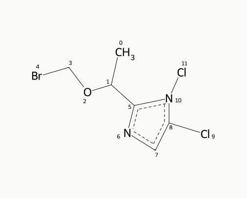 CC(OCBr)c1ncc(Cl)n1Cl